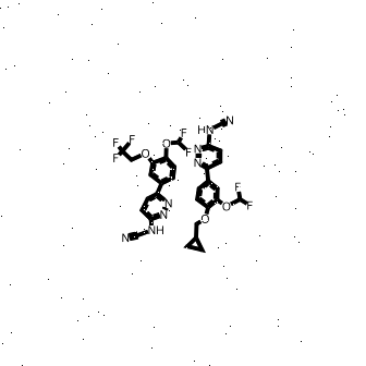 N#CNc1ccc(-c2ccc(OC(F)F)c(OCC(F)(F)F)c2)nn1.N#CNc1ccc(-c2ccc(OCC3CC3)c(OC(F)F)c2)nn1